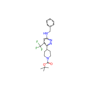 CC(C)(C)OC(=O)N1CCC(c2nnc(NCc3ccccc3)cc2C(F)(F)F)CC1